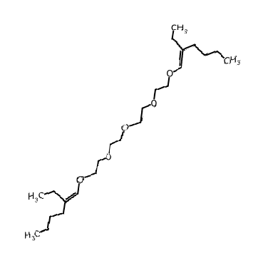 CCCC/C(=C/OCCOCCOCCOCCO/C=C(\CC)CCCC)CC